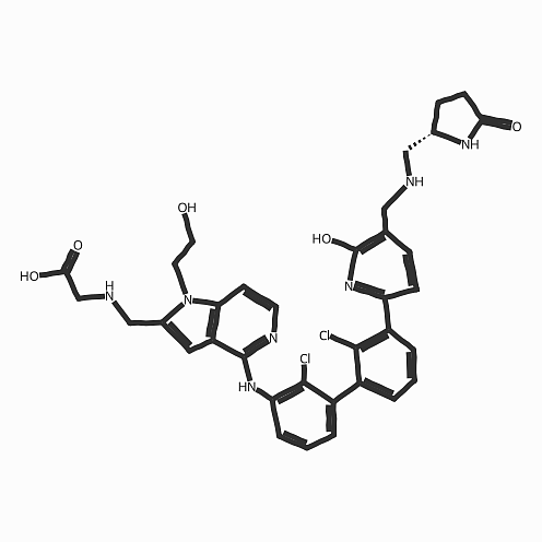 O=C(O)CNCc1cc2c(Nc3cccc(-c4cccc(-c5ccc(CNC[C@@H]6CCC(=O)N6)c(O)n5)c4Cl)c3Cl)nccc2n1CCO